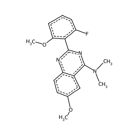 COc1ccc2nc(-c3c(F)cccc3OC)nc(N(C)C)c2c1